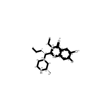 CCC[C@H](c1nc2cc(F)c(Cl)cc2c(=O)n1CC)N1CCN[C@@H](C)C1